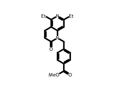 CCc1cc2c(ccc(=O)n2Cc2ccc(C(=O)OC)cc2)c(CC)n1